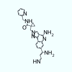 N=C/C=C(\N)c1ccc2c(c1)nc(N)c1cn(CC3(C(=O)NCc4ccccn4)CC3)nc12